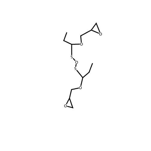 CCC(OCC1CO1)SOSC(CC)OCC1CO1